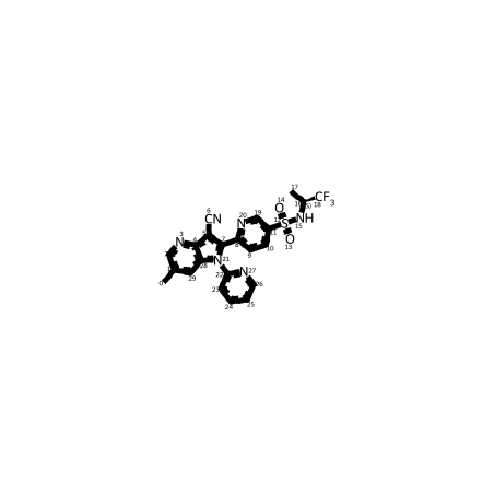 Cc1cnc2c(C#N)c(-c3ccc(S(=O)(=O)N[C@@H](C)C(F)(F)F)cn3)n(-c3ccccn3)c2c1